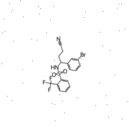 N#CCCC(NS(=O)(=O)c1ccccc1C(F)(F)F)c1cccc(Br)c1